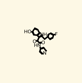 O=C(Nc1ccncc1)C(=O)c1c(Cc2ccc(F)cc2)[nH]c2ccc(O)cc12